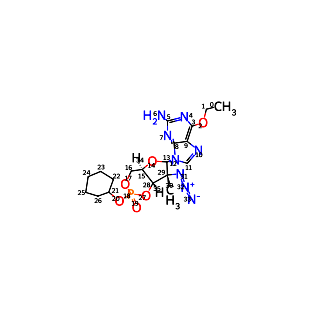 CCOc1nc(N)nc2c1ncn2[C@@H]1O[C@@H]2COP(=O)(OC3CCCCC3)O[C@H]2[C@@]1(C)N=[N+]=[N-]